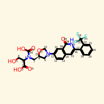 O=C(O)C(CO)N(C[C@@H]1CN(c2ccc3cc(-c4ccccc4C(F)(F)F)[nH]c(=O)c3c2)CO1)C(=O)O